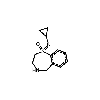 O=S1(=NC2CC2)CCNCc2ccccc21